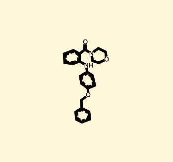 O=C(c1ccccc1Nc1ccc(OCc2ccccc2)cc1)N1CCOCC1